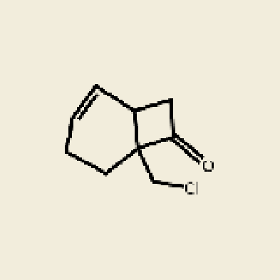 O=C1CC2C=CCCC12CCl